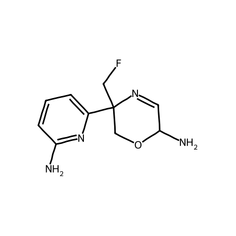 Nc1cccc(C2(CF)COC(N)C=N2)n1